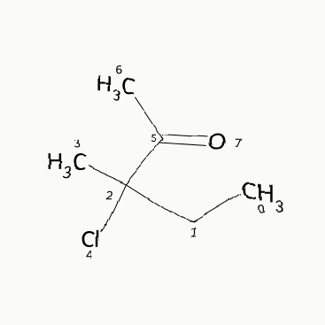 CCC(C)(Cl)C(C)=O